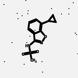 CS(=O)(=O)Nc1noc2c(C3CC3)cccc12